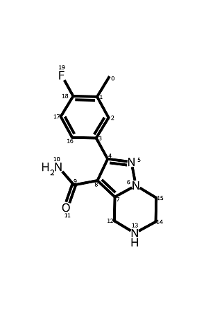 Cc1cc(-c2nn3c(c2C(N)=O)CNCC3)ccc1F